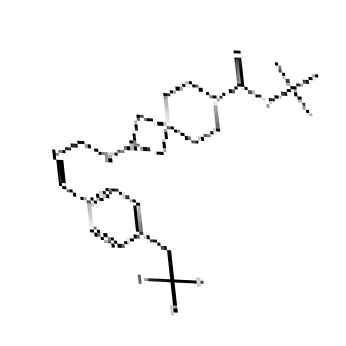 CC(C)(C)OC(=O)N1CCC2(CC1)CN(N1CN=Cc3ccc(CC(F)(F)F)cc31)C2